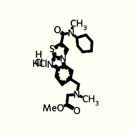 COC(=O)CN(C)Cc1ccc2nc3sc(C(=O)N(C)C4CCCCC4)cn3c2c1.Cl.Cl